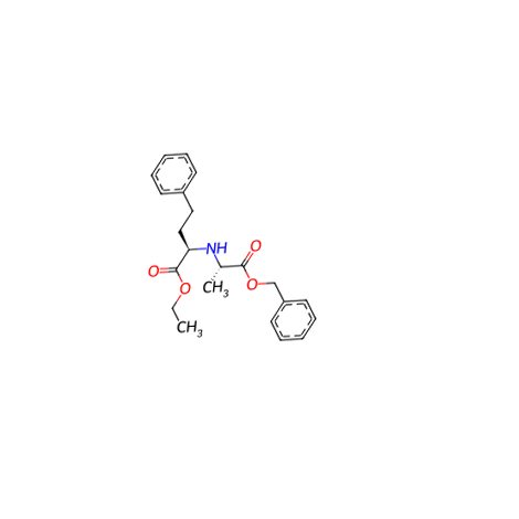 CCOC(=O)[C@@H](CCc1ccccc1)N[C@@H](C)C(=O)OCc1ccccc1